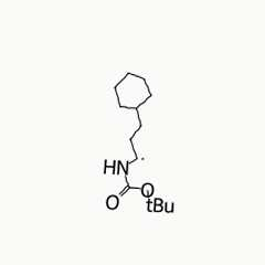 CC(C)(C)OC(=O)N[CH]CCC1CCCCC1